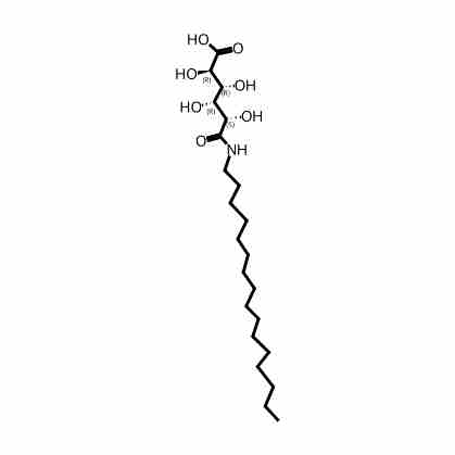 CCCCCCCCCCCCCCCCNC(=O)[C@@H](O)[C@H](O)[C@@H](O)[C@@H](O)C(=O)O